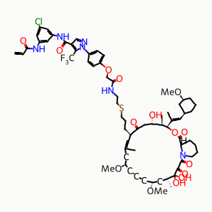 C=CC(=O)Nc1cc(Cl)cc(NC(=O)c2cnn(-c3ccc(OCC(=O)NCCSCCC[C@@H]4/C=C(\C)C[C@H](OC)CCC[C@@H](OC)C[C@@H](C)C(O)(O)C(=O)C(=O)N5CCCC[C@H]5C(=O)O[C@H](/C(C)=C/[C@@H]5CCC[C@H](OC)C5)[C@H](C)[C@@H](O)CC4=O)cc3)c2C(F)(F)F)c1